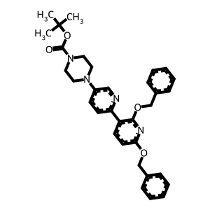 CC(C)(C)OC(=O)N1CCN(c2ccc(-c3ccc(OCc4ccccc4)nc3OCc3ccccc3)nc2)CC1